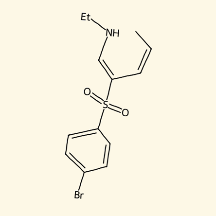 C/C=C\C(=C/NCC)S(=O)(=O)c1ccc(Br)cc1